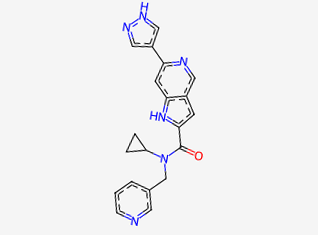 O=C(c1cc2cnc(-c3cn[nH]c3)cc2[nH]1)N(Cc1cccnc1)C1CC1